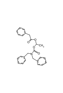 CC(OC(=O)Cc1ccccc1)OC(=O)N(Cc1ccccc1)Cc1ccccc1